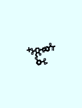 CNC(=O)c1ccc2nc(N3CCN(C(=O)OC(C)(C)C)C(CCOc4cccc(C(=O)OC)c4)C3=O)cn2c1